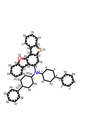 c1ccc(C2CCC(N(c3cc4sc5ccccc5c4c4oc5ccccc5c34)C3CCC(c4ccccc4)CC3)CC2)cc1